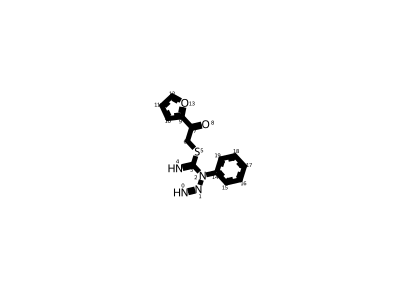 N=NN(C(=N)SCC(=O)c1ccco1)c1ccccc1